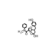 CN(C(=O)c1coc(C(CC(=O)O)Cc2ccc(O)cc2)n1)c1ccccc1